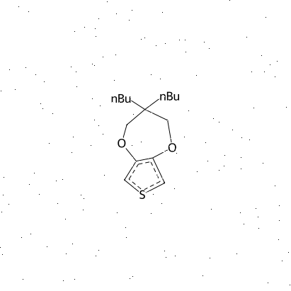 CCCCC1(CCCC)COc2cscc2OC1